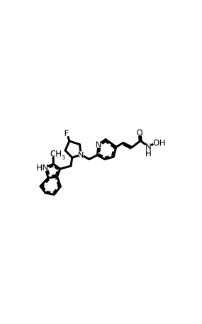 Cc1[nH]c2ccccc2c1CC1CC(F)CN1Cc1ccc(/C=C/C(=O)NO)cn1